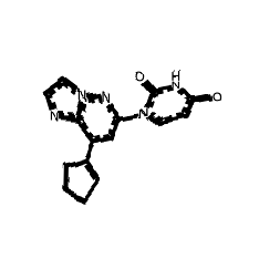 O=c1ccn(-c2cc(C3=CCCC3)c3nccn3n2)c(=O)[nH]1